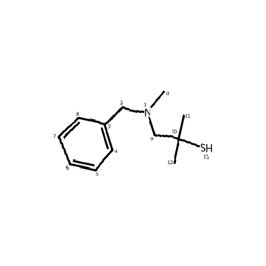 CN(Cc1ccccc1)CC(C)(C)S